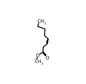 CCCC/C=C\CC(=O)OC